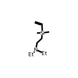 C=C[Si](C)(C)CCN(CC)CC